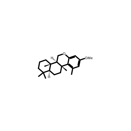 COc1cc(C)c2c(c1)OC[C@@H]1[C@@]3(C)CCCC(C)(C)[C@@H]3CC[C@@]21C